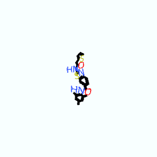 Cc1cc(C)c(NC(=O)c2ccc3nc(NC(=O)Cc4cccs4)sc3c2)c(C)c1